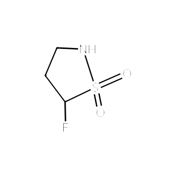 O=S1(=O)NCCC1F